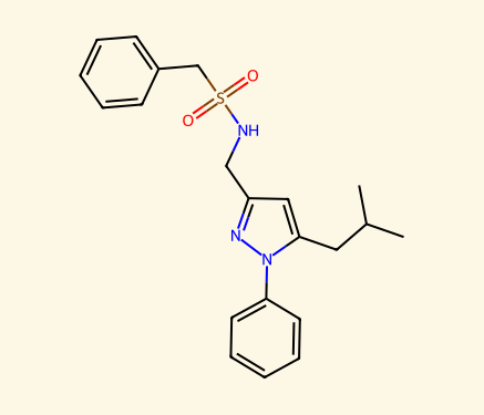 CC(C)Cc1cc(CNS(=O)(=O)Cc2ccccc2)nn1-c1ccccc1